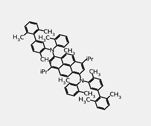 Cc1ccc(-c2c(C)cccc2C)cc1N(c1c(C)cccc1C)c1cc(C(C)C)c2ccc3c(N(c4cc(-c5c(C)cccc5C)ccc4C)c4c(C)cccc4C)cc(C(C)C)c4ccc1c2c43